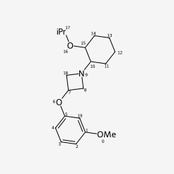 COc1cccc(OC2CN(C3CCCCC3OC(C)C)C2)c1